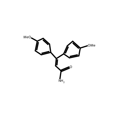 COc1ccc(C(=CC(N)=O)c2ccc(OC)cc2)cc1